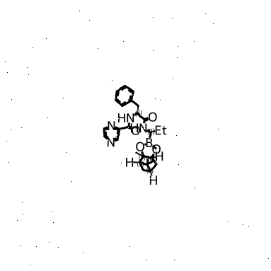 CC[C@H](NC(=O)[C@H](Cc1ccccc1)NC(=O)c1cnccn1)B1O[C@@H]2C[C@@H]3C[C@@H](C3(C)C)[C@]2(C)O1